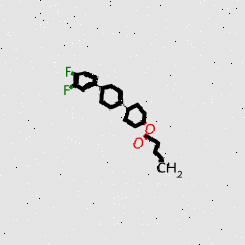 C=CCCC(=O)OC1CCC([C@H]2CC[C@H](c3ccc(F)c(F)c3)CC2)CC1